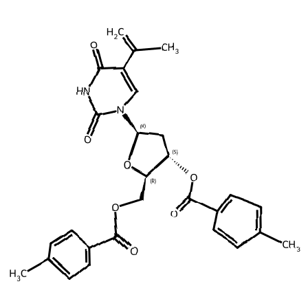 C=C(C)c1cn([C@H]2C[C@H](OC(=O)c3ccc(C)cc3)[C@@H](COC(=O)c3ccc(C)cc3)O2)c(=O)[nH]c1=O